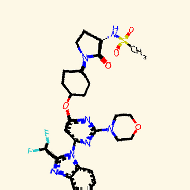 CS(=O)(=O)N[C@H]1CCN(C2CCC(Oc3cc(-n4c(C(F)F)nc5ccccc54)nc(N4CCOCC4)n3)CC2)C1=O